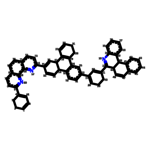 C1=CCCC(c2ccc3ccc4ccc(C5=CC6C7=C(CCC=C7)c7cc(C8=CCCC(C9=Nc%10ccccc%10C%10c%11ccccc%11C=CC9%10)=C8)ccc7C6C=C5)nc4c3n2)=C1